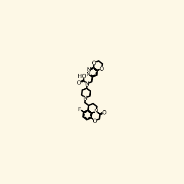 O=C1COc2ccc(F)c3c2N1CCC3CN1CCC(N(Cc2cc3c(nn2)OCCO3)C(=O)O)CC1